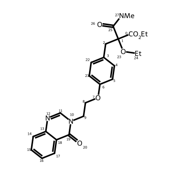 CCOC(=O)C(Cc1ccc(OCCn2cnc3ccccc3c2=O)cc1)(OCC)C(=O)NC